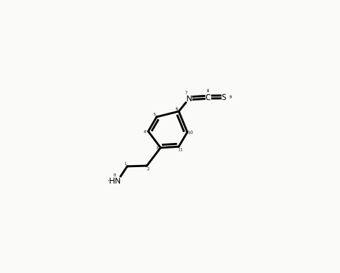 [NH]CCc1ccc(N=C=S)cc1